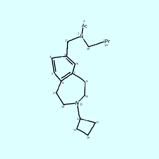 CC(=O)N(Cc1ccc2c(c1)CCN(C1CCC1)CC2)CC(C)C